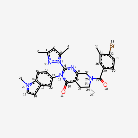 Cc1cc(C)n(-c2nc3c(c(=O)n2-c2ccc4c(ccn4C)c2)C[C@@H](C)N(C(=O)c2ccc(Br)c(C)c2)C3)n1